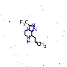 C=CCC1NCCn2c1nnc2C(F)(F)F